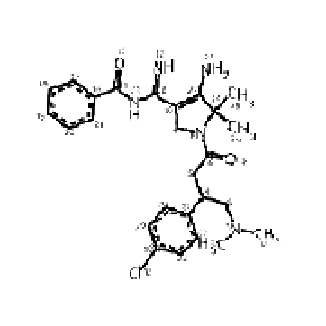 CN(C)CC(CC(=O)N1CC(C(=N)NC(=O)c2ccccc2)=C(N)C1(C)C)c1ccc(Cl)cc1